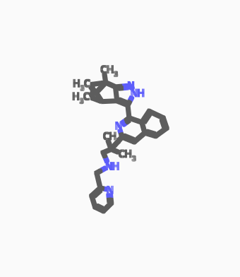 CC(C)(CNCc1ccccn1)c1cc2ccccc2c(-c2[nH]nc3c2C2CCC3(C)C2(C)C)n1